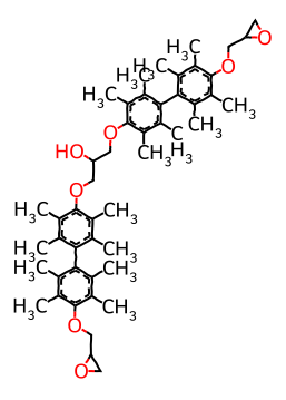 Cc1c(C)c(-c2c(C)c(C)c(OCC3CO3)c(C)c2C)c(C)c(C)c1OCC(O)COc1c(C)c(C)c(-c2c(C)c(C)c(OCC3CO3)c(C)c2C)c(C)c1C